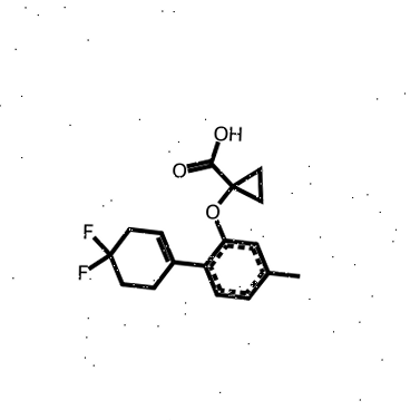 Cc1ccc(C2=CCC(F)(F)CC2)c(OC2(C(=O)O)CC2)c1